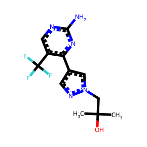 CC(C)(O)Cn1cc(-c2nc(N)ncc2C(F)(F)F)cn1